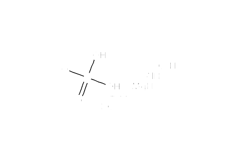 O.O.O=P(O)(O)O.[AlH3].[CaH2].[MgH2]